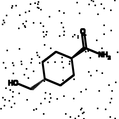 NC(=O)[C@H]1CC[C@H](CO)CC1